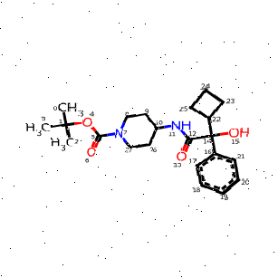 CC(C)(C)OC(=O)N1CCC(NC(=O)C(O)(c2ccccc2)C2CCC2)CC1